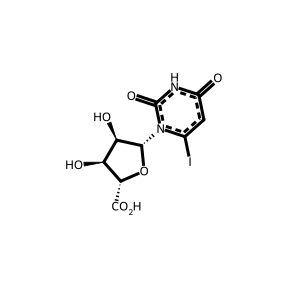 O=C(O)[C@H]1O[C@@H](n2c(I)cc(=O)[nH]c2=O)[C@H](O)[C@@H]1O